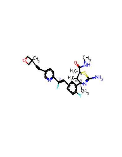 CNC(=O)[C@@]1(C)SC(N)=N[C@](C)(c2cc(/C=C(\F)c3ccc(C#CC4(C)COC4)cn3)ccc2F)[C@@H]1C